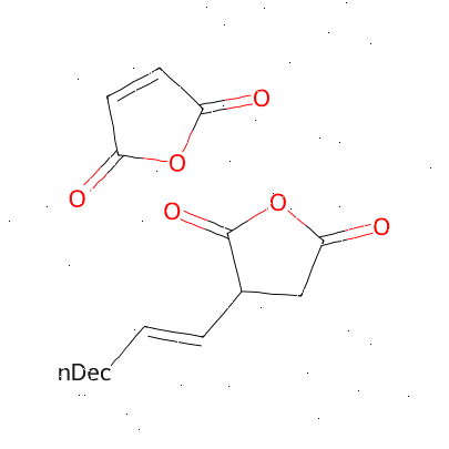 CCCCCCCCCCC=CC1CC(=O)OC1=O.O=C1C=CC(=O)O1